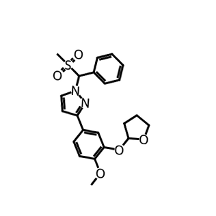 COc1ccc(-c2ccn(C(c3ccccc3)S(C)(=O)=O)n2)cc1OC1CCCO1